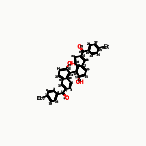 CCc1ccc(C(=O)c2ccc3c(-c4c(O)ccc5cc(C(=O)c6ccc(CC)cc6)ccc45)c(O)ccc3c2)cc1